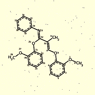 COc1ccccc1O/C=C(C)/C(=N/c1ccccc1)Oc1ccccc1OC